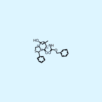 CC(C)(C)[C@H](NC(=O)OCc1ccccc1)C(=O)N1C(c2ccccc2)SC[C@H]1C(=O)O